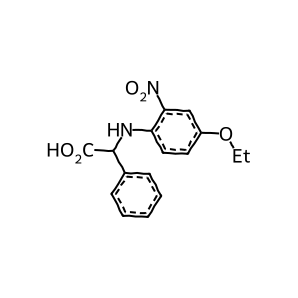 CCOc1ccc(NC(C(=O)O)c2ccccc2)c([N+](=O)[O-])c1